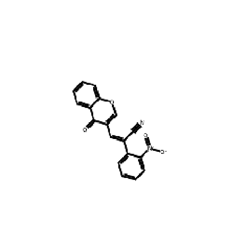 N#C/C(=C\c1coc2ccccc2c1=O)c1ccccc1[N+](=O)[O-]